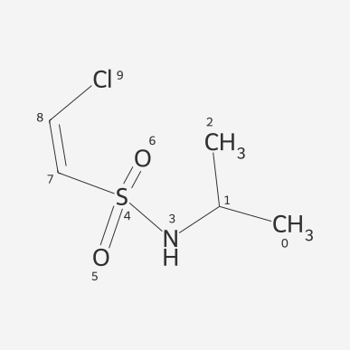 CC(C)NS(=O)(=O)/C=C\Cl